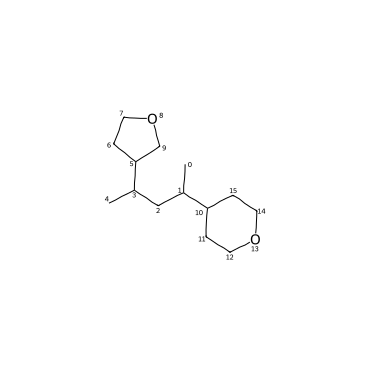 CC(CC(C)C1CCOC1)C1CCOCC1